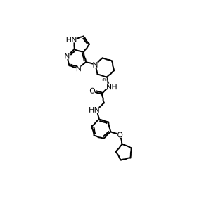 O=C(CNc1cccc(OC2CCCC2)c1)N[C@@H]1CCCN(c2ncnc3[nH]ccc23)C1